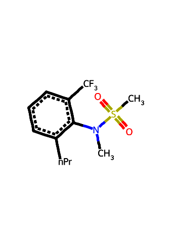 CCCc1cccc(C(F)(F)F)c1N(C)S(C)(=O)=O